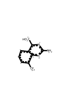 Nc1nc(C(=O)O)c2cccc(C(F)(F)F)c2n1